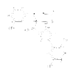 O=C1c2cc(-c3nc(Cl)ncc3F)sc2C2(COC2)N1Cc1cccc(Cl)c1